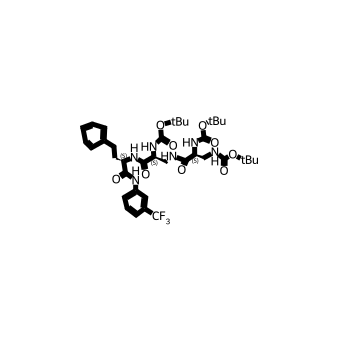 CC(C)(C)OC(=O)NC[C@H](NC(=O)OC(C)(C)C)C(=O)NC[C@H](NC(=O)OC(C)(C)C)C(=O)N[C@@H](CCc1ccccc1)C(=O)Nc1cccc(C(F)(F)F)c1